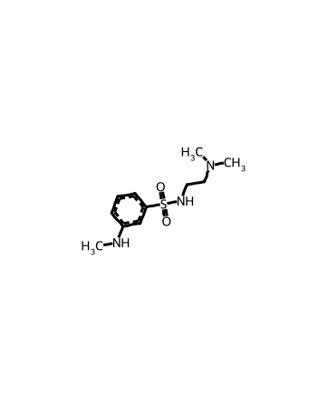 CNc1cccc(S(=O)(=O)NCCN(C)C)c1